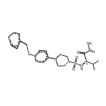 CC(C)[C@@H](NS(=O)(=O)N1CCN(c2ccc(OCc3ccccc3)cc2)CC1)C(=O)NO